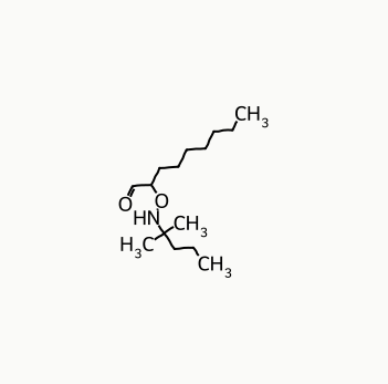 CCCCCCCC(C=O)ONC(C)(C)CCC